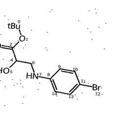 CC(C)(C)OC(=O)C(O)CNc1ccc(Br)cc1